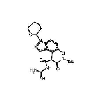 CC(C)(C)OC(=O)C(C(=O)NC(=N)N)c1c(Cl)ccc2c1cnn2C1CCCCO1